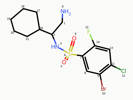 NCC(NS(=O)(=O)c1cc(Br)c(Cl)cc1F)C1CCCCC1